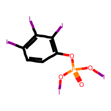 O=P(OI)(OI)Oc1ccc(I)c(I)c1I